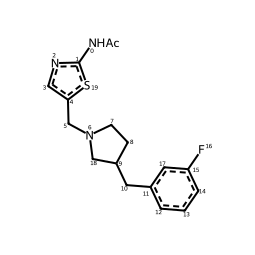 CC(=O)Nc1ncc(CN2CCC(Cc3cccc(F)c3)C2)s1